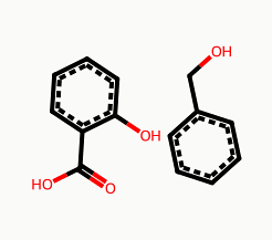 O=C(O)c1ccccc1O.OCc1ccccc1